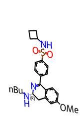 CCCCN[C@H]1Cc2cc(OC)ccc2C(c2ccc(S(=O)(=O)NC3CCC3)cc2)=N1